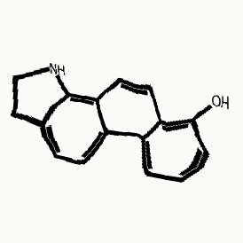 Oc1cccc2c1ccc1c3c(ccc12)CCN3